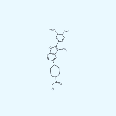 COc1ccc(-c2[nH]c3ccc(C4CCN(C(=O)CCl)CC4)cc3c2C)cc1OC